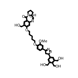 COc1cc(C2=NOC(c3cc(CO)c(CO)c(CO)c3)C2)ccc1OCCCCCOc1cc2c(cc1CO)C(=O)N1CCC[C@H]1C=N2